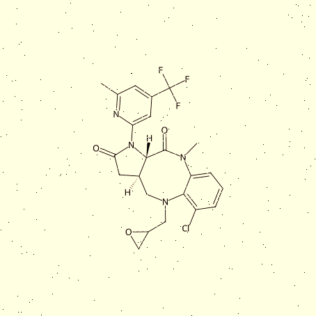 Cc1cc(C(F)(F)F)cc(N2C(=O)C[C@@H]3CN(CC4CO4)c4c(Cl)cccc4N(C)C(=O)[C@H]32)n1